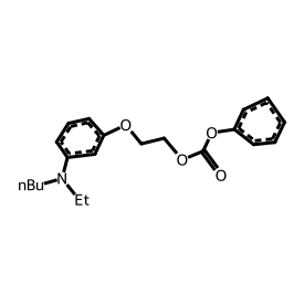 CCCCN(CC)c1cccc(OCCOC(=O)Oc2ccccc2)c1